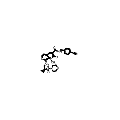 Cn1c(=O)c(C(=O)NCc2ccc(C#N)cc2)cc2ccnc(OCC3(S(=O)(=O)N4CCOCC4)CC3)c21